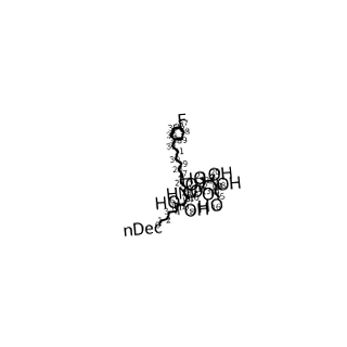 CCCCCCCCCCCCCC[C@@H](O)[C@@H](O)[C@H](CO[C@H]1OC(CO)[C@H](O)C(O)C1O)NC(=O)CCCCCCCc1ccc(F)cc1